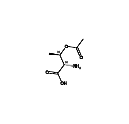 CC(=O)O[C@H](C)[C@H](N)C(=O)O